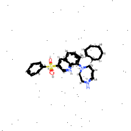 O=S(=O)(c1ccccc1)c1cnc2c(N3CCNCC[C@H]3C3CCCCCC3)cccc2c1